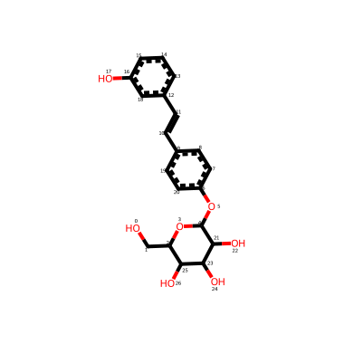 OCC1OC(Oc2ccc(/C=C/c3cccc(O)c3)cc2)C(O)C(O)C1O